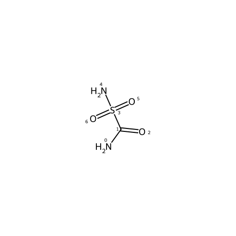 NC(=O)S(N)(=O)=O